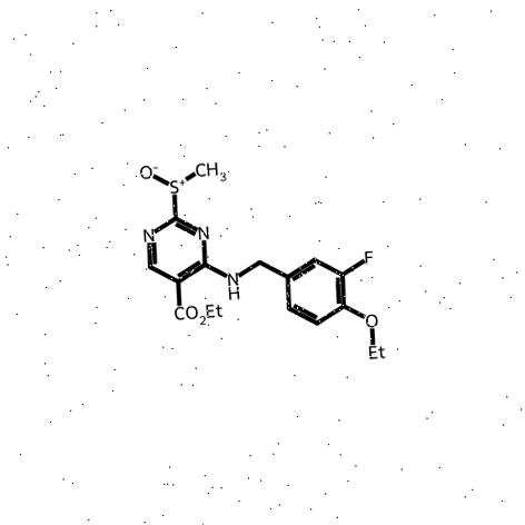 CCOC(=O)c1cnc([S+](C)[O-])nc1NCc1ccc(OCC)c(F)c1